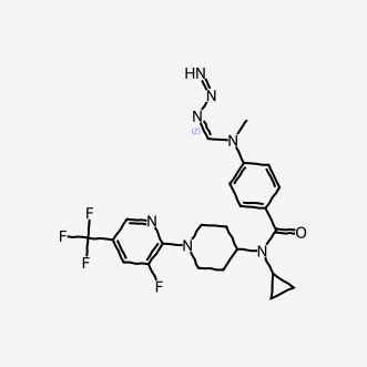 CN(/C=N\N=N)c1ccc(C(=O)N(C2CC2)C2CCN(c3ncc(C(F)(F)F)cc3F)CC2)cc1